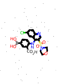 O=C(O)c1cc(B(O)O)ccc1Nc1c(S(=O)(=O)N2CCOCC2)cnc2ccc(Cl)cc12